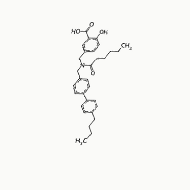 CCCCCC(=O)N(Cc1ccc(-c2ccc(CCCC)cc2)cc1)Cc1ccc(O)c(C(=O)O)c1